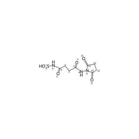 O=C(CCC(=O)NS(=O)(=O)O)NN1C(=O)CCC1=O